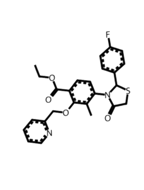 CCOC(=O)c1ccc(N2C(=O)CSC2c2ccc(F)cc2)c(C)c1OCc1ccccn1